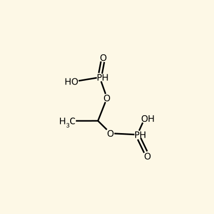 CC(O[PH](=O)O)O[PH](=O)O